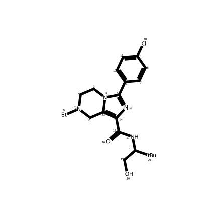 CCN1CCn2c(-c3ccc(Cl)cc3)nc(C(=O)NC(CO)C(C)(C)C)c2C1